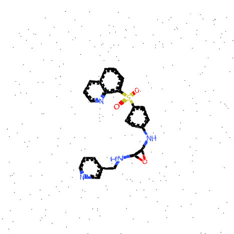 O=S(=O)(c1ccc(NC2OC2NCc2cccnc2)cc1)c1cccc2cccnc12